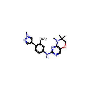 COc1cc(Nc2ncc3c(n2)N(C)C(C)(C)CO3)ccc1-c1cnn(C)c1